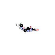 O=C(Nc1ccc(Cl)c(C(F)(F)F)c1)NC1CCc2[nH]c3cc(C(=O)NCCCCO)ccc3c2C1